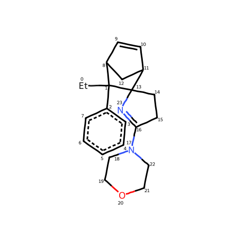 CCC1(c2ccccc2)C2C=CC(C2)C12CCC(N1CCOCC1)=N2